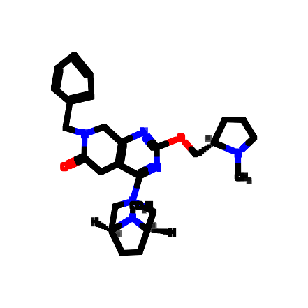 CN1CCC[C@H]1COc1nc2c(c(N3C[C@H]4CC[C@@H](C3)N4C(=O)O)n1)CC(=O)N(Cc1ccccc1)C2